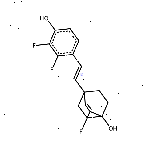 Oc1ccc(/C=C/C23C=C(F)C(O)(CC2)CC3)c(F)c1F